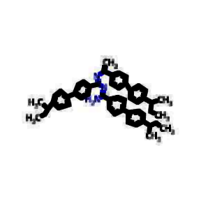 C=C(/N=C(\N=C(/N)c1ccc(-c2ccc(C(C)CC)cc2)cc1)c1ccc(-c2ccc(C(C)CC)cc2)cc1)c1ccc(-c2ccc(C(C)CC)cc2)cc1